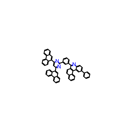 c1ccc(-c2ccc3nc(-c4cccc(-c5nc(-c6cc7ccccc7c7ccccc67)cc(-c6cc7ccccc7c7ccccc67)n5)c4)c4ccc5ccccc5c4c3c2)cc1